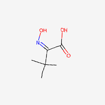 CC(C)(C)C(=NO)C(=O)O